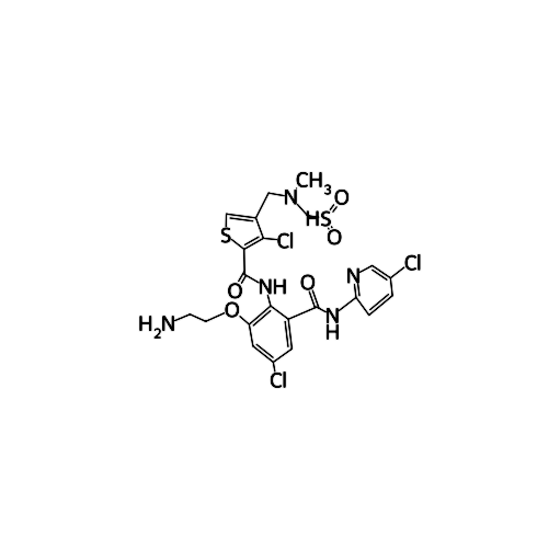 CN(Cc1csc(C(=O)Nc2c(OCCN)cc(Cl)cc2C(=O)Nc2ccc(Cl)cn2)c1Cl)C[SH](=O)=O